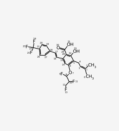 CC(C)=CCc1c(OC(F)C(F)CF)cc(C=Cc2ccc(C(F)(F)F)cc2)c(C(=O)O)c1O